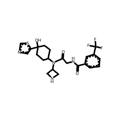 O=C(NCC(=O)N(C1CCC(O)(c2cncs2)CC1)C1CNC1)c1cccc(C(F)(F)F)c1